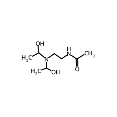 CC(=O)NCCN(C(C)O)C(C)O